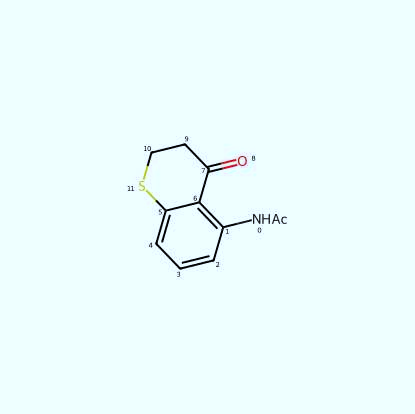 CC(=O)Nc1cccc2c1C(=O)CCS2